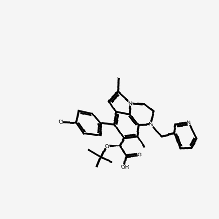 Cc1c([C@H](OC(C)(C)C)C(=O)O)c(-c2ccc(Cl)cc2)c2cc(C)n3c2c1N(Cc1cccnc1)CC3